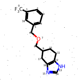 FC(F)(F)c1cccc(COCC2CCc3[nH]cnc3C2)c1